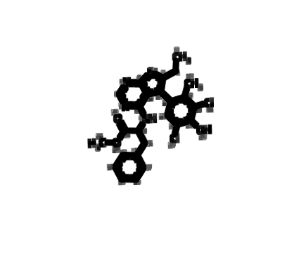 CCc1sc2ncnc(NC(Cc3ccccc3)C(=O)OC)c2c1-c1cc(Cl)c(O)c(Cl)c1C